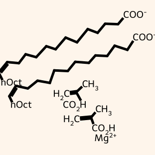 C=C(C)C(=O)O.C=C(C)C(=O)O.CCCCCCCC/C=C\CCCCCCCCCCCC(=O)[O-].CCCCCCCC/C=C\CCCCCCCCCCCC(=O)[O-].[Mg+2]